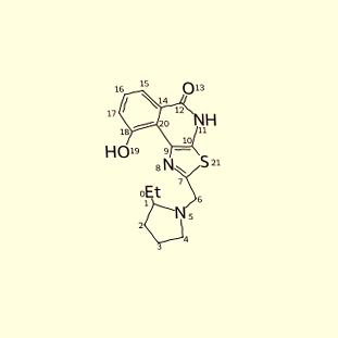 CCC1CCCN1Cc1nc2c([nH]c(=O)c3cccc(O)c32)s1